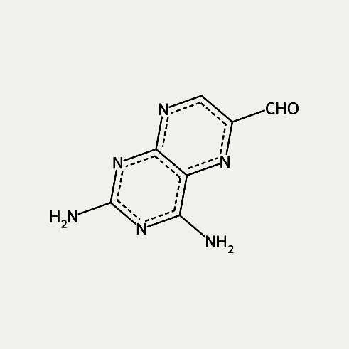 Nc1nc(N)c2nc(C=O)cnc2n1